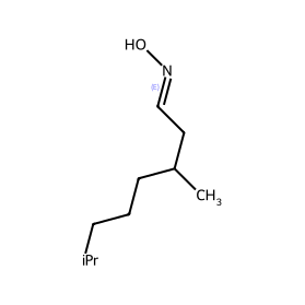 CC(C)CCCC(C)C/C=N/O